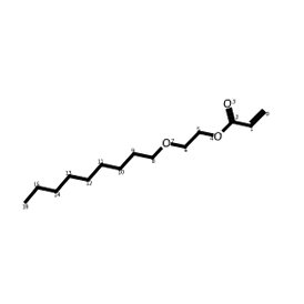 C=CC(=O)OCCOCCCCCCCCC